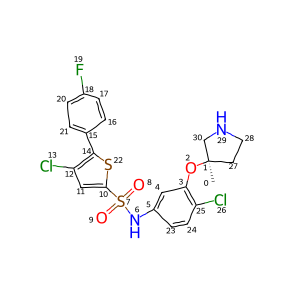 C[C@@]1(Oc2cc(NS(=O)(=O)c3cc(Cl)c(-c4ccc(F)cc4)s3)ccc2Cl)CCNC1